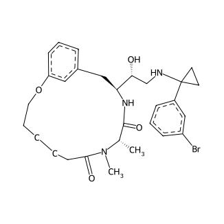 C[C@H]1C(=O)N[C@H]([C@H](O)CNC2(c3cccc(Br)c3)CC2)Cc2cccc(c2)OCCCCCC(=O)N1C